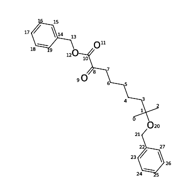 CC(C)(CCCCCC(=O)C(=O)OCc1ccccc1)OCc1ccccc1